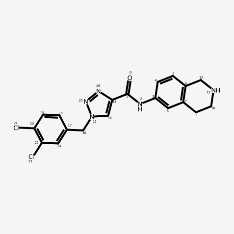 O=C(Nc1ccc2c(c1)CCNC2)c1cn(Cc2ccc(Cl)c(Cl)c2)nn1